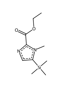 CCOC(=O)c1ncc([Si](C)(C)C)n1C